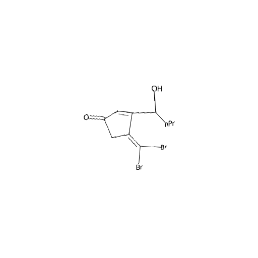 CCCC(O)C1=CC(=O)CC1=C(Br)Br